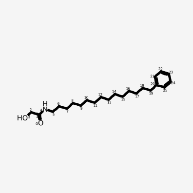 O=C(CO)NCCCCCCCCCCCCCCCc1ccccc1